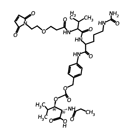 CCC(=O)N[C@H](C(=O)O)[C@H](OC(=O)OCc1ccc(NC(=O)C(CCCNC(N)=O)NC(=O)C(NC(=O)CCOCCN2C(=O)C=CC2=O)C(C)C)cc1)C(C)C